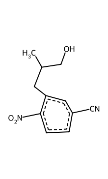 CC(CO)Cc1cc(C#N)ccc1[N+](=O)[O-]